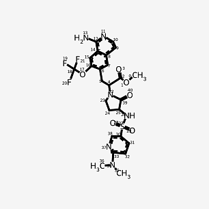 COC(=O)C(Cc1cc2ccnc(N)c2cc1OC(F)(F)F)N1CCC(NS(=O)(=O)c2ccc(N(C)C)nc2)C1=O